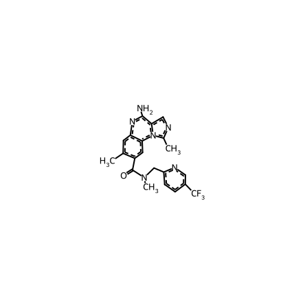 Cc1cc2nc(N)c3cnc(C)n3c2cc1C(=O)N(C)Cc1ccc(C(F)(F)F)cn1